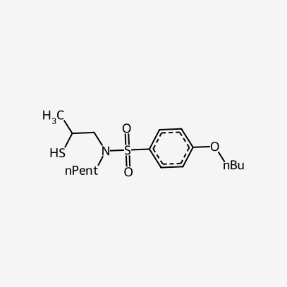 CCCCCN(CC(C)S)S(=O)(=O)c1ccc(OCCCC)cc1